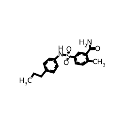 CCCc1ccc(NS(=O)(=O)c2ccc(C)c(C(N)=O)c2)cc1